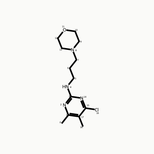 Cc1nc(NCCCN2CCOCC2)nc(Cl)c1C